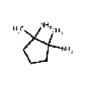 CC1(N)CCCC1(C)N